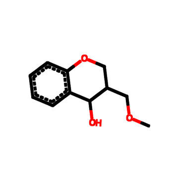 COCC1COc2ccccc2C1O